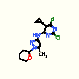 Cc1cc(Nc2nc(Cl)nc(Cl)c2C2CC2)nn1C1CCCCO1